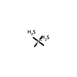 C[N+](C)(C)C.S.S